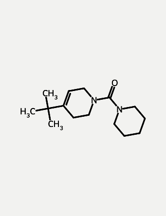 CC(C)(C)C1=CCN(C(=O)N2CCCCC2)CC1